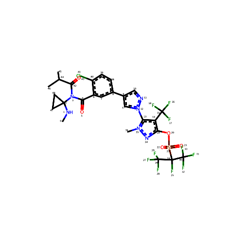 CNC1(N(C(=O)c2cc(-c3cnn(-c4c(C(F)(F)F)c(OS(=O)(=O)C(F)(C(F)(F)F)C(F)(F)F)nn4C)c3)ccc2Cl)C(=O)C(C)C)CC1